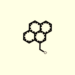 [O]Cc1cc2cccc3ccc4cccc1c4c32